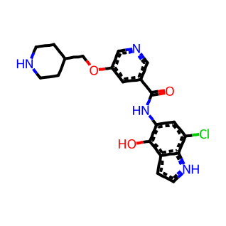 O=C(Nc1cc(Cl)c2[nH]ccc2c1O)c1cncc(OCC2CCNCC2)c1